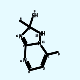 CC1=CC=NC2=NC(C)(S)NN12